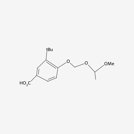 COC(C)OCOc1ccc(C(=O)O)cc1C(C)(C)C